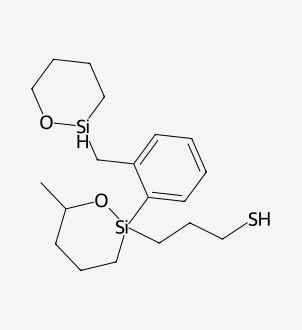 CC1CCC[Si](CCCS)(c2ccccc2C[SiH]2CCCCO2)O1